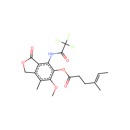 CC=C(C)CCC(=O)Oc1c(NC(=O)C(F)(F)F)c2c(c(C)c1OC)COC2=O